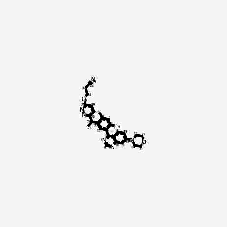 Cc1cc(F)c(-c2ncnc3cc(N4CCOCC4)ccc23)cc1C(C)c1ccc(OCCC#N)nn1